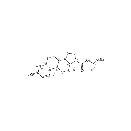 CC(C)(C)C(=O)OC(=O)C1CCC2C3CCC4NC(=O)C=C[C@]4(C)C3CC[C@]12C